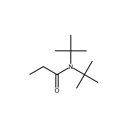 CCC(=O)N(C(C)(C)C)C(C)(C)C